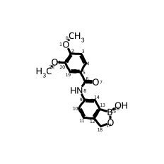 COc1ccc(C(=O)Nc2ccc3c(c2)B(O)OC3)cc1OC